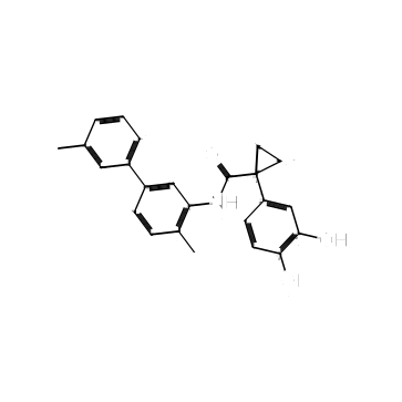 Cc1cccc(-c2ccc(C)c(NC(=O)C3(c4ccc(O)c(O)c4)CC3)c2)c1